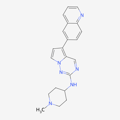 CN1CCC(Nc2ncc3c(-c4ccc5ncccc5c4)ccn3n2)CC1